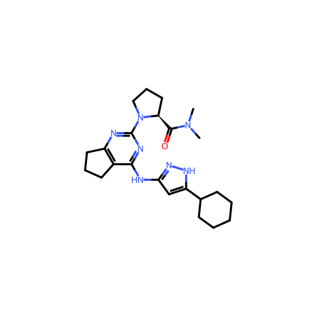 CN(C)C(=O)[C@@H]1CCCN1c1nc2c(c(Nc3cc(C4CCCCC4)[nH]n3)n1)CCC2